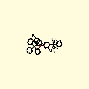 Cc1ccccc1C(C)(C)c1ccc(N(c2ccc(F)cc2)c2ccccc2C2(c3ccccc3)c3ccccc3-c3ccccc32)cc1C